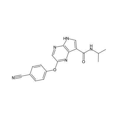 CC(C)NC(=O)c1c[nH]c2ncc(Oc3ccc(C#N)cc3)nc12